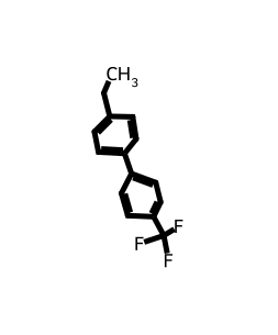 CCc1ccc(-c2ccc(C(F)(F)F)cc2)cc1